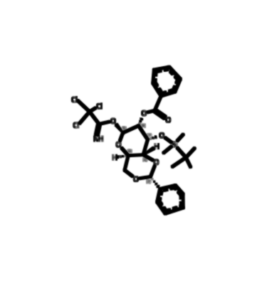 CC(C)(C)[Si](C)(C)O[C@H]1[C@@H](OC(=O)c2ccccc2)[C@H](OC(=N)C(Cl)(Cl)Cl)O[C@@H]2CO[C@@H](c3ccccc3)O[C@@H]12